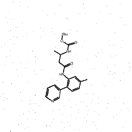 Cc1ccc(-c2cccnc2)c(NC(=O)CC(C)NC(=O)OC(C)(C)C)c1